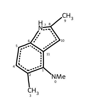 CNc1c(C)ccc2[nH]c(C)cc12